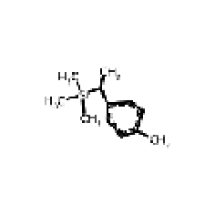 Cc1ccc(C(C)[Si](C)(C)C)cc1